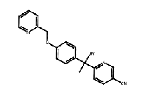 CC(C)C(C)(c1ccc(OCc2ccccn2)cc1)c1ccc(C#N)cn1